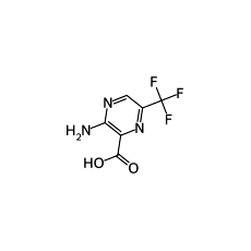 Nc1ncc(C(F)(F)F)nc1C(=O)O